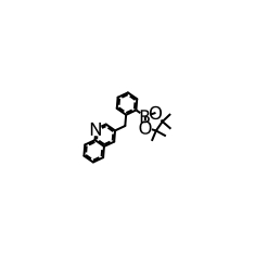 CC1(C)OB(c2ccccc2Cc2cnc3ccccc3c2)OC1(C)C